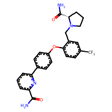 NC(=O)c1cccc(-c2ccc(Oc3ccc(C(F)(F)F)cc3CN3CCC[C@H]3C(N)=O)cc2)n1